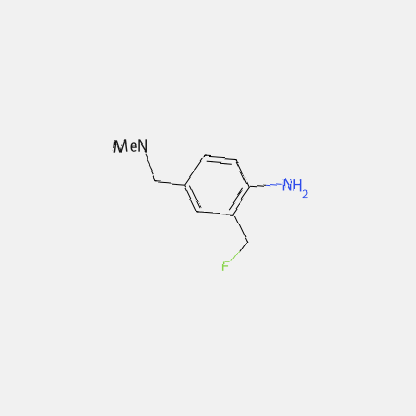 CNCc1ccc(N)c(CF)c1